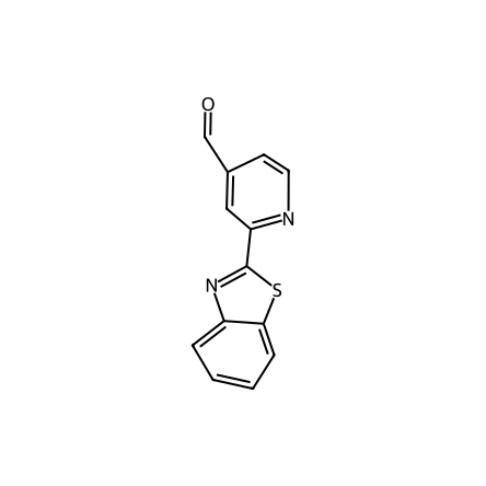 O=Cc1ccnc(-c2nc3ccccc3s2)c1